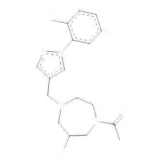 CC(=O)N1CCN(Cc2cnn(-c3ccccc3Cl)c2)CC(O)C1